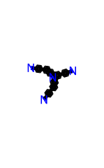 N#Cc1ccc(-c2ccc3cc4c5cc(-c6ccc(C#N)cc6)cc6c7cc8ccc(-c9ccc(C#N)cc9)cc8cc7n(c4cc3c2)c56)cc1